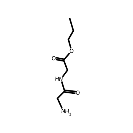 CCCOC(=O)CNC(=O)CN